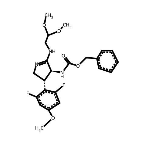 COc1cc(F)c([C@@H]2CN=C(NCC(OC)OC)[C@H]2NC(=O)OCc2ccccc2)c(F)c1